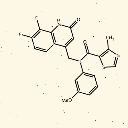 COc1cccc(N(Cc2cc(=O)[nH]c3c(F)c(F)ccc23)C(=O)c2scnc2C)c1